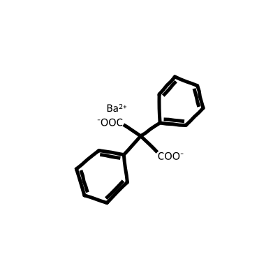 O=C([O-])C(C(=O)[O-])(c1ccccc1)c1ccccc1.[Ba+2]